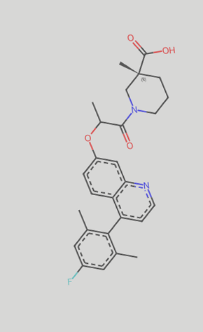 Cc1cc(F)cc(C)c1-c1ccnc2cc(OC(C)C(=O)N3CCC[C@@](C)(C(=O)O)C3)ccc12